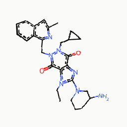 CCn1c(N2CCCC(N)C2)nc2c(=O)n(CC3CC3)n(Cc3nc(C)cc4ccccc34)c(=O)c21